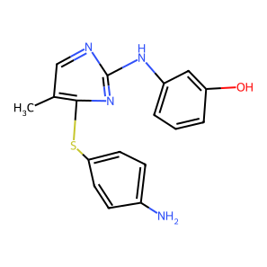 Cc1cnc(Nc2cccc(O)c2)nc1Sc1ccc(N)cc1